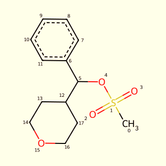 CS(=O)(=O)OC(c1ccccc1)C1CCOCC1